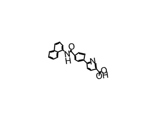 O=C(O)c1ccc(-c2ccc(C(=O)Nc3cccc4ccccc34)cc2)nc1